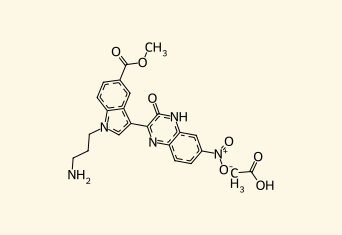 CC(=O)O.COC(=O)c1ccc2c(c1)c(-c1nc3ccc([N+](=O)[O-])cc3[nH]c1=O)cn2CCCN